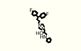 OC(CNc1ccccc1)CN1CCN(CCCC(c2ccc(F)cc2)c2ccc(F)cc2)CC1